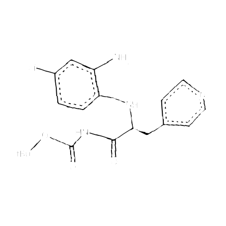 CC(C)(C)OC(=O)NC(=O)[C@H](Cc1ccncc1)Nc1ccc(Cl)cc1N